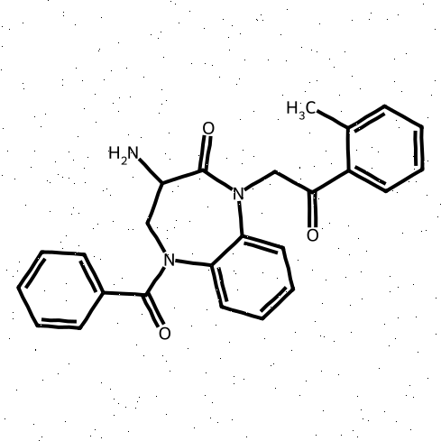 Cc1ccccc1C(=O)CN1C(=O)C(N)CN(C(=O)c2ccccc2)c2ccccc21